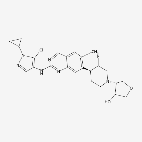 Cc1cc2cnc(Nc3cnn(C4CC4)c3Cl)nc2cc1[C@@H]1CCN([C@@H]2COCC2O)CC1F